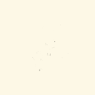 CC(C)c1cccc(C(C)C)c1NC(=O)Nc1nc(-c2ccccc2)n(Cc2ccccc2)c1-c1ccccc1Cl